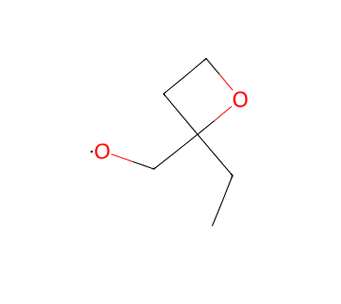 CCC1(C[O])CCO1